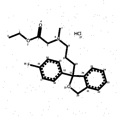 CCOC(=O)CN(C)CCCC1(c2ccc(F)cc2)OCc2ccccc21.Cl